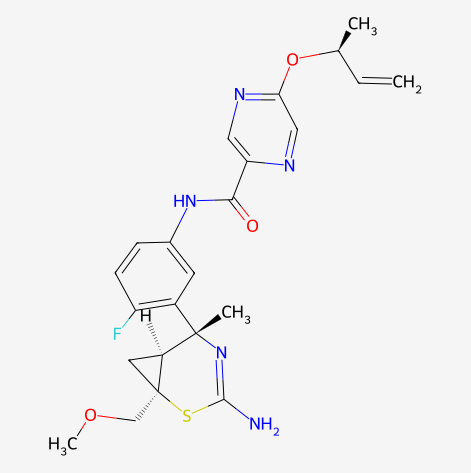 C=C[C@H](C)Oc1cnc(C(=O)Nc2ccc(F)c([C@]3(C)N=C(N)S[C@@]4(COC)C[C@H]43)c2)cn1